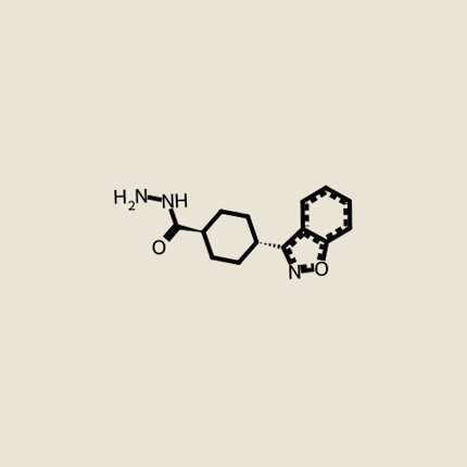 NNC(=O)[C@H]1CC[C@H](c2noc3ccccc32)CC1